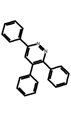 c1ccc(-c2cc(-c3ccccc3)c(-c3ccccc3)nn2)cc1